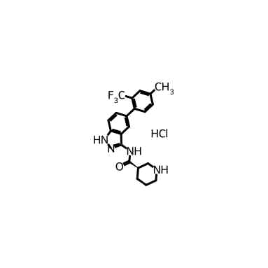 Cc1ccc(-c2ccc3[nH]nc(NC(=O)[C@@H]4CCCNC4)c3c2)c(C(F)(F)F)c1.Cl